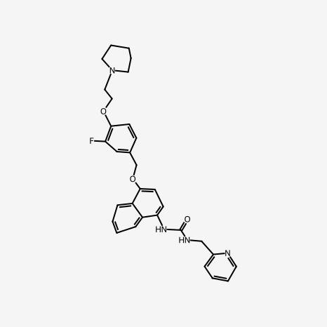 O=C(NCc1ccccn1)Nc1ccc(OCc2ccc(OCCN3CCCCC3)c(F)c2)c2ccccc12